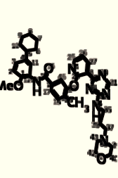 COc1ccc(C2CCCCC2)cc1NC(=O)c1ccc(C)c(Oc2ncccc2-c2ncnc(NCCCN3CCOCC3)n2)c1